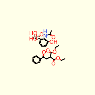 CC(=O)Nc1c(O)cccc1[As](=O)(O)O.CCOC(=O)C(CC(=O)c1ccccc1)C(=O)OCC